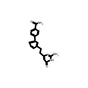 NC(=O)c1ccc(-c2cccc(CCc3cc(=O)[nH]c(N)n3)c2)cc1